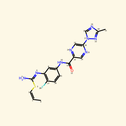 C/C=C\S/C(N)=N\c1cc(NC(=O)c2cnc(-n3cnc(C)n3)cn2)ccc1F